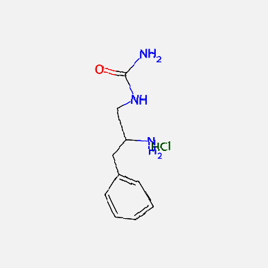 Cl.NC(=O)NCC(N)Cc1ccccc1